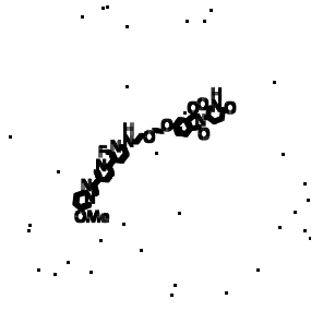 COc1ccc2nc(-c3ccc(-c4ccc(NCCOCCOc5ccc6c(c5)C(=O)N(C5CCC(=O)NC5=O)C6=O)nc4F)nc3)cn2c1